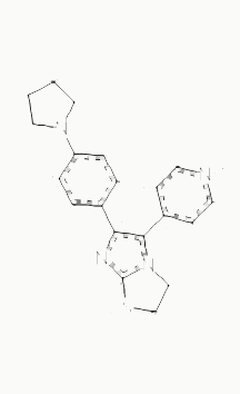 c1cc(-c2c(-c3ccc(N4CCCC4)cc3)nc3n2CCS3)ccn1